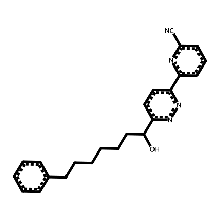 N#Cc1cccc(-c2ccc(C(O)CCCCCCc3ccccc3)nn2)n1